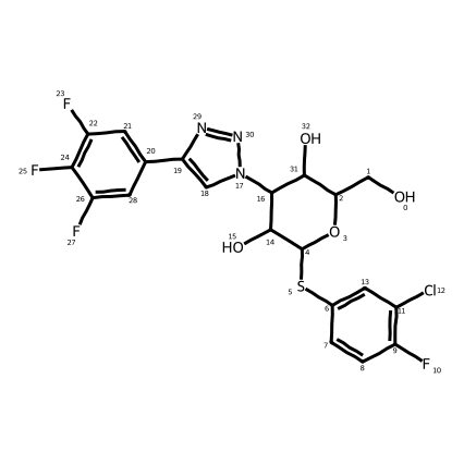 OCC1OC(Sc2ccc(F)c(Cl)c2)C(O)C(n2cc(-c3cc(F)c(F)c(F)c3)nn2)C1O